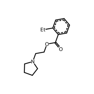 CCc1ccccc1C(=O)OCCN1CCCC1